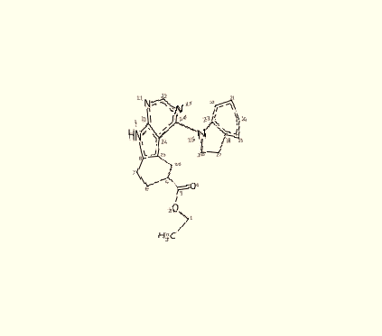 CCOC(=O)C1CCc2[nH]c3ncnc(N4CCc5ccccc54)c3c2C1